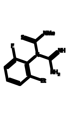 CCc1cccc(F)c1N(C(=N)N)C(=S)NC